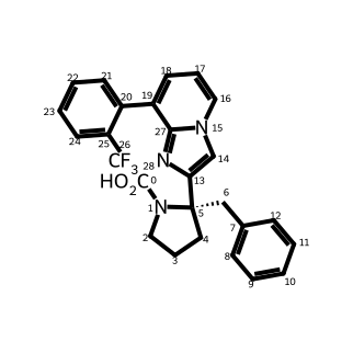 O=C(O)N1CCC[C@]1(Cc1ccccc1)c1cn2cccc(-c3ccccc3C(F)(F)F)c2n1